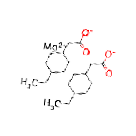 CCC1CCC(CC(=O)[O-])CC1.CCC1CCC(CC(=O)[O-])CC1.[Mg+2]